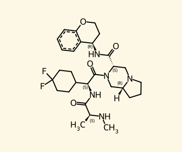 CN[C@@H](C)C(=O)N[C@H](C(=O)N1C[C@H]2CCCN2C[C@H]1C(=O)N[C@@H]1CCOc2ccccc21)C1CCC(F)(F)CC1